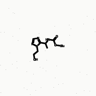 CC(NC(=O)OC(C)(C)C)c1ncnn1CCO